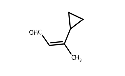 C/C(=C/C=O)C1CC1